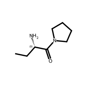 CC[C@H](N)C(=O)N1CCCC1